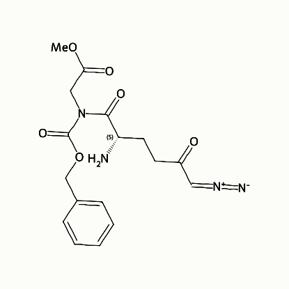 COC(=O)CN(C(=O)OCc1ccccc1)C(=O)[C@@H](N)CCC(=O)C=[N+]=[N-]